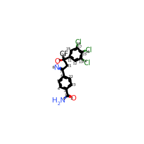 NC(=O)c1ccc(C2=NOC(c3cc(Cl)c(Cl)c(Cl)c3)(C(F)(F)F)C2)cc1